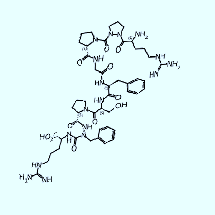 N=C(N)NCCCC(NC(=O)N(Cc1ccccc1)NC(=O)[C@@H]1CCCN1C(=O)[C@H](CO)NC(=O)[C@H](Cc1ccccc1)NC(=O)CNC(=O)[C@@H]1CCCN1C(=O)N1CCCN1C(=O)[C@@H](N)CCCNC(=N)N)C(=O)O